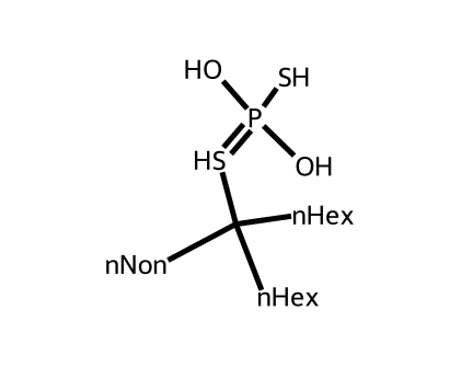 CCCCCCCCCC(CCCCCC)(CCCCCC)[SH]=P(O)(O)S